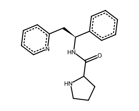 O=C(N[C@@H](Cc1ccccn1)c1ccccc1)C1CCCN1